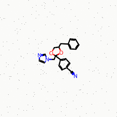 N#Cc1ccc(C2(Cn3ccnc3)OCC(Cc3ccccc3)O2)cc1